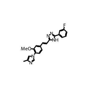 COc1cc(/C=C/c2nnc(-c3cccc(F)c3)[nH]2)ccc1-n1cnc(C)c1